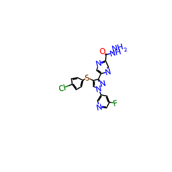 NNC(=O)c1cnc(-c2nn(-c3cncc(F)c3)cc2Sc2ccc(Cl)cc2)cn1